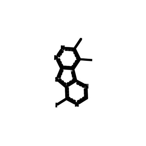 Cc1nnc2sc3c(I)ncnc3c2c1C